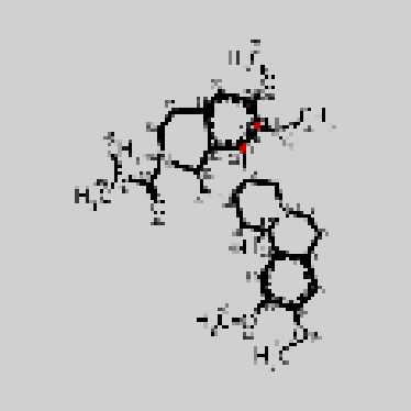 CC[C@H]1CN2CCc3cc(OC)c(OC)cc3[C@@H]2C[C@@H]1C[C@@H]1c2cc(OC)c(OC)cc2CCN1C(=O)N(C)C